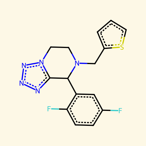 Fc1ccc(F)c(C2c3nnnn3CCN2Cc2cccs2)c1